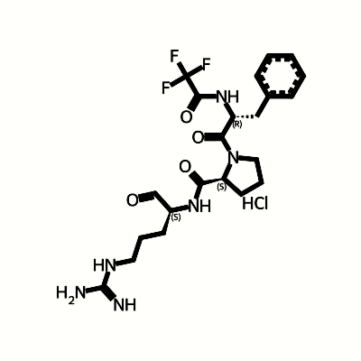 Cl.N=C(N)NCCC[C@@H](C=O)NC(=O)[C@@H]1CCCN1C(=O)[C@@H](Cc1ccccc1)NC(=O)C(F)(F)F